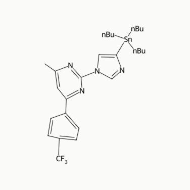 CCC[CH2][Sn]([CH2]CCC)([CH2]CCC)[c]1cn(-c2nc(C)cc(-c3ccc(C(F)(F)F)cc3)n2)cn1